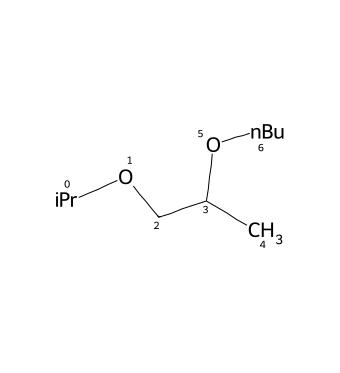 [CH2]C(C)OCC(C)OCCCC